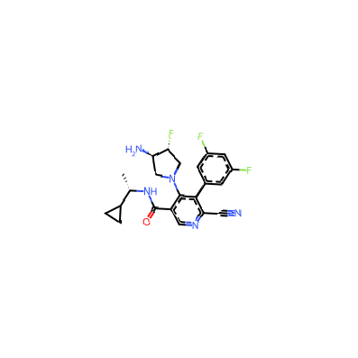 C[C@H](NC(=O)c1cnc(C#N)c(-c2cc(F)cc(F)c2)c1N1C[C@@H](N)[C@H](F)C1)C1CC1